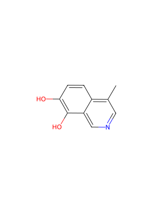 Cc1cncc2c(O)c(O)ccc12